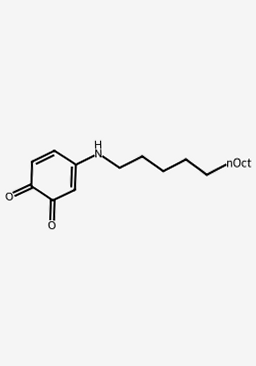 CCCCCCCCCCCCCNC1=CC(=O)C(=O)C=C1